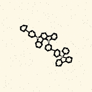 c1ccc(-c2ccc(-n3c4ccccc4c4c3ccc3c5ccccc5n(-c5cccc(-c6ccc([Si]7(c8ccccc8)c8ccccc8-c8ccccc87)cc6)c5)c34)cc2)cc1